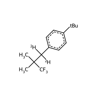 [2H]C([2H])(c1ccc(C(C)(C)C)cc1)C(C)(C)C(F)(F)F